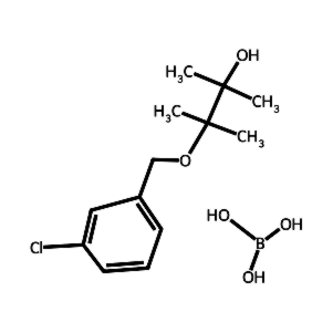 CC(C)(O)C(C)(C)OCc1cccc(Cl)c1.OB(O)O